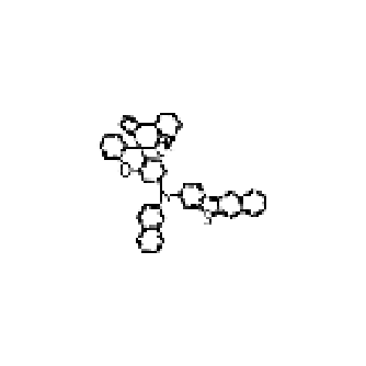 c1ccc2c(c1)Oc1cc(N(c3ccc4ccccc4c3)c3ccc4c(c3)sc3cc5ccccc5cc34)ccc1C21c2ccccc2-c2cccc3cccc1c23